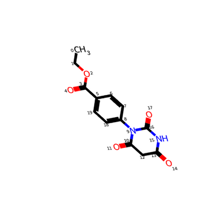 CCOC(=O)c1ccc(N2C(=O)CC(=O)NC2=O)cc1